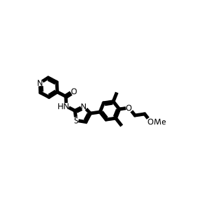 COCCOc1c(C)cc(-c2csc(NC(=O)c3ccncc3)n2)cc1C